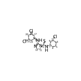 S=C(Nc1cccc(Cl)c1)N1CCN=C1Nc1cc(Cl)cc(Cl)c1